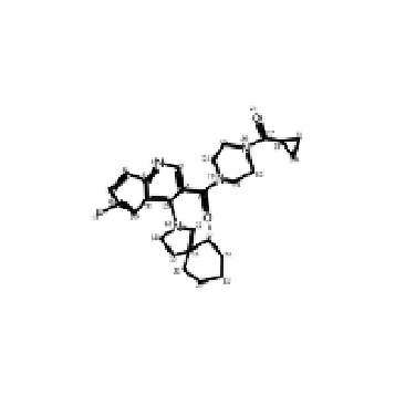 O=C(c1cnc2ccc(F)cc2c1N1CCC2(CCCCC2)C1)N1CCN(C(=O)C2CC2)CC1